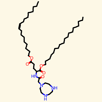 CCCCCCCC/C=C\CCCCCCCCOC(=O)CCC(NC(=O)CN1CCNCCNCC1)C(=O)OCCCCCCCCCCCCCCCCCC